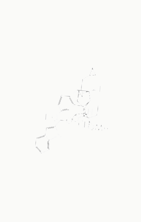 CO[C@]12CC[C@@]3(C[C@]1(C)COCc1cc4ccccc4s1)[C@H]1Cc4ccc(O)c5c4[C@@]3(CCN1CC1CC1)[C@H]2O5